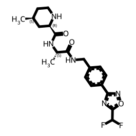 C[C@H]1CCN[C@@H](C(=O)N[C@@H](C)C(=O)NCc2ccc(-c3noc(C(F)F)n3)cc2)C1